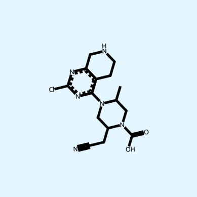 CC1CN(C(=O)O)C(CC#N)CN1c1nc(Cl)nc2c1CCNC2